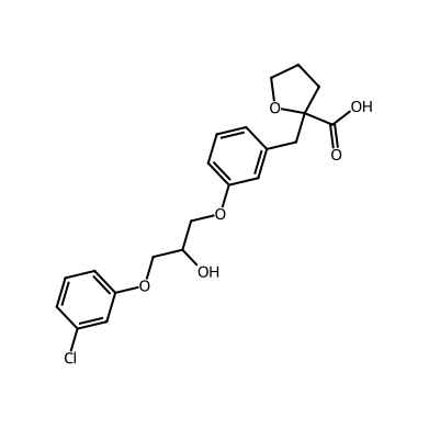 O=C(O)C1(Cc2cccc(OCC(O)COc3cccc(Cl)c3)c2)CCCO1